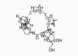 C=C1C[C@@H]2CC[C@]34C[C@H]5O[C@H]([C@@H](OC)[C@H]5O3)[C@@H](O4)[C@@H]3CCC[C@H](CC(=O)O[C@@H]4[C@@H](C)[C@@H]5O[C@H](CCO)[C@H](O)C[C@@H]5O[C@H]4C[C@H]4O[C@@H](CC[C@@H]1O2)C[C@@H](C)C4=C)O3